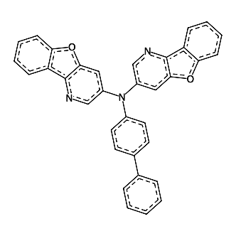 c1ccc(-c2ccc(N(c3cnc4c(c3)oc3ccccc34)c3cnc4c(c3)oc3ccccc34)cc2)cc1